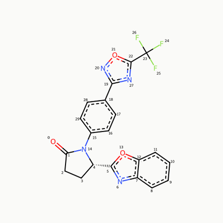 O=C1CC[C@@H](c2nc3ccccc3o2)N1c1ccc(-c2noc(C(F)(F)F)n2)cc1